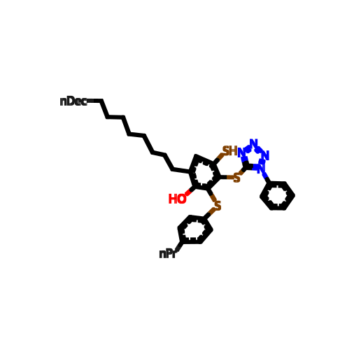 CCCCCCCCCCCCCCCCCCc1cc(S)c(Sc2nnnn2-c2ccccc2)c(Sc2ccc(CCC)cc2)c1O